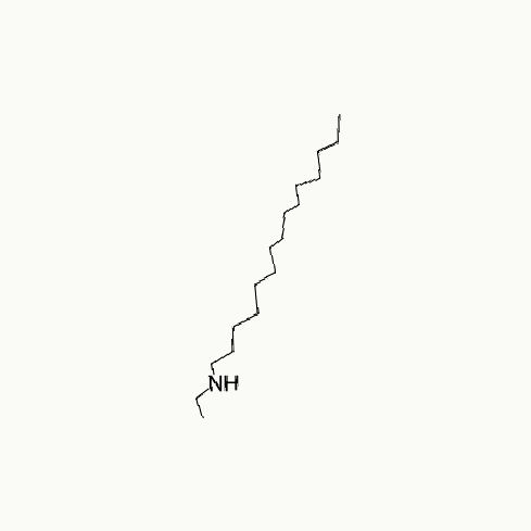 CCCCCCCCCCCCCCCNCC